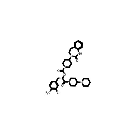 O=C(O[C@H](Cc1ccc(C(F)(F)F)c(Cl)c1)C(=O)N1CCC(N2CCCCC2)CC1)N1CCC(N2CCc3ccccc3NC2=O)CC1